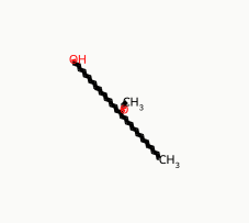 CCCCCCCCCCCCCCCCC(CCCCCCCC=CCCCCCCCCO)OCC